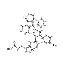 CC(C)(C)C(=O)OCn1cnc2ccc(-c3cn(C(c4ccccc4)(c4ccccc4)c4ccccc4)nc3-c3ccc(F)cc3)cc21